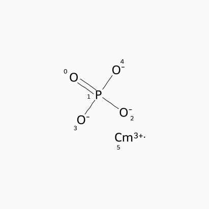 O=P([O-])([O-])[O-].[Cm+3]